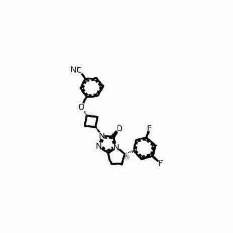 N#Cc1cccc(O[C@H]2C[C@H](n3nc4n(c3=O)[C@H](c3cc(F)cc(F)c3)CC4)C2)c1